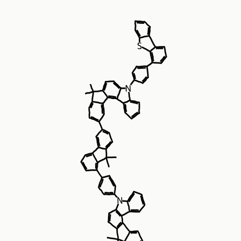 CC1(C)c2ccccc2-c2c1ccc1c2c2ccccc2n1-c1ccc(-c2cccc3c2C(C)(C)c2ccc(-c4ccc5c(c4)-c4c(ccc6c4c4ccccc4n6-c4ccc(-c6cccc7c6sc6ccccc67)cc4)C5(C)C)cc2-3)cc1